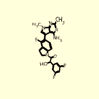 Cc1nc(N)c2c(-c3ccc4c(c3F)CCN4C(=O)C(O)c3cc(F)cc(F)c3)cn(C)c2n1